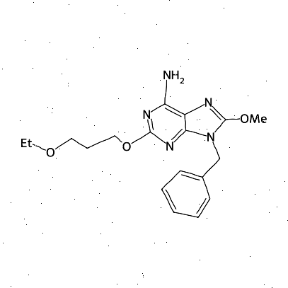 CCOCCCOc1nc(N)c2nc(OC)n(Cc3ccccc3)c2n1